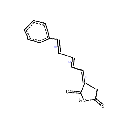 O=C1NC(=S)S/C1=C/C=C/C=C/c1ccccc1